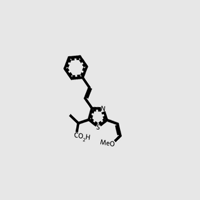 CO/C=C\c1nc(/C=C/c2ccccc2)c(C(C)C(=O)O)s1